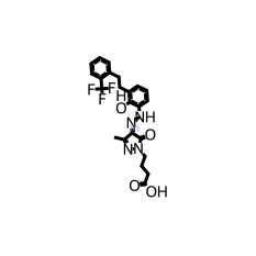 CC1=NN(CCCC(=O)O)C(=O)/C1=N\Nc1cccc(CCc2ccccc2C(F)(F)F)c1O